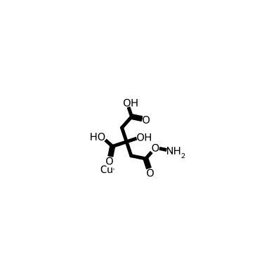 NOC(=O)CC(O)(CC(=O)O)C(=O)O.[Cu]